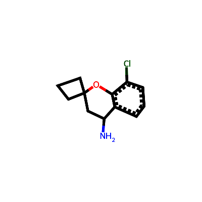 NC1CC2(CCC2)Oc2c(Cl)cccc21